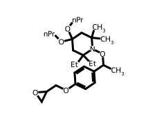 CCCOC1(OCCC)CC(C)(C)N(OC(C)c2ccc(OCC3CO3)cc2)C(CC)(CC)C1